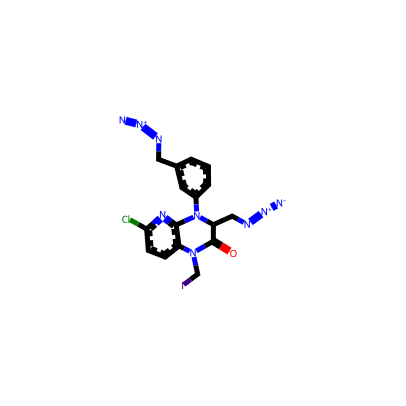 [N-]=[N+]=NCc1cccc(N2c3nc(Cl)ccc3N(CI)C(=O)C2CN=[N+]=[N-])c1